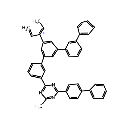 C=C/C(=C\C)c1cc(-c2cccc(-c3ccccc3)c2)cc(-c2cccc(-c3nc(C)nc(-c4ccc(-c5ccccc5)cc4)n3)c2)c1